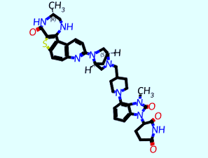 C[C@@H]1CNc2c(sc3ccc4nc(N5C[C@@H]6C[C@H]5CN6CC5CCN(c6cccc7c6n(C)c(=O)n7C6CCC(=O)NC6=O)CC5)ccc4c23)C(=O)N1